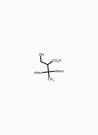 CCCCCCC(C)(CCCCC)C(CO)C(=O)O